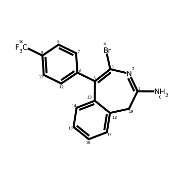 NC1=NC(Br)=C(c2ccc(C(F)(F)F)cc2)c2ccccc2C1